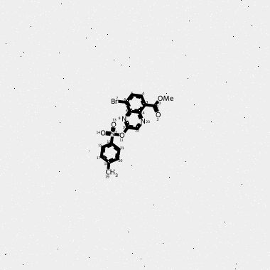 COC(=O)c1ccc(Br)c2nc(OS(=O)(=O)c3ccc(C)cc3)cnc12